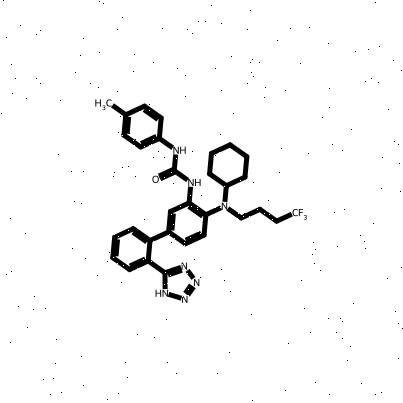 Cc1ccc(NC(=O)Nc2cc(-c3ccccc3-c3nnn[nH]3)ccc2N(CCCC(F)(F)F)C2CCCCC2)cc1